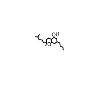 CCCCC1CC(O)C2CCC(C)(CCCC(C)C)OC2C1